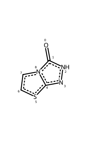 O=c1[nH]nc2sccn12